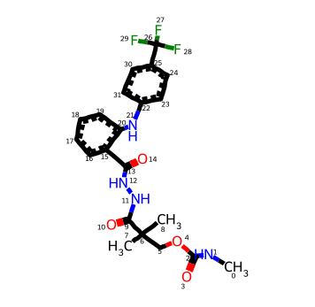 CNC(=O)OCC(C)(C)C(=O)NNC(=O)c1ccccc1Nc1ccc(C(F)(F)F)cc1